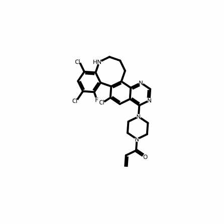 C=CC(=O)N1CCN(c2ncnc3c4c(c(Cl)cc23)-c2c(F)c(Cl)cc(Cl)c2NCCC4)CC1